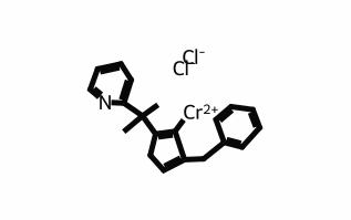 CC(C)(C1=[C]([Cr+2])C(Cc2ccccc2)=CC1)c1ccccn1.[Cl-].[Cl-]